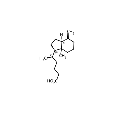 C=C1CCCC2(C)[C@@H]([C@H](C)CCCC(=O)O)CC[C@@H]12